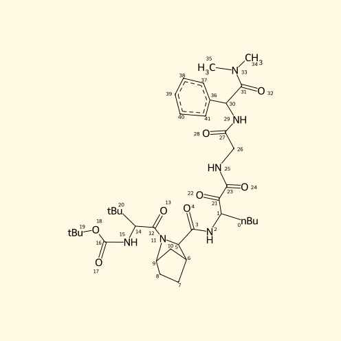 CCCCC(NC(=O)C1C2CCC(C2)N1C(=O)C(NC(=O)OC(C)(C)C)C(C)(C)C)C(=O)C(=O)NCC(=O)NC(C(=O)N(C)C)c1ccccc1